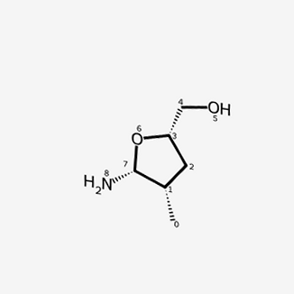 C[C@H]1C[C@@H](CO)O[C@H]1N